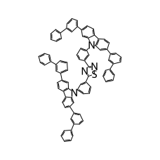 c1ccc(-c2cccc(-c3ccc4c5ccc(-c6cccc(-c7ccccc7)c6)cc5n(-c5cccc(-c6nsc(-c7cccc(-n8c9cc(-c%10cccc(-c%11ccccc%11)c%10)ccc9c9ccc(-c%10cccc(-c%11ccccc%11)c%10)cc98)c7)n6)c5)c4c3)c2)cc1